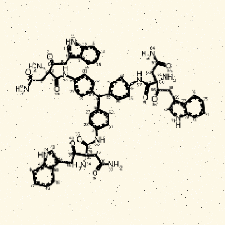 NC(=O)C[C@@](N)(C(=O)Cc1c[nH]c2ccccc12)C(=O)Nc1ccc(C(c2ccc(NC(=O)[C@@](N)(CC(N)=O)C(=O)Cc3c[nH]c4ccccc34)cc2)c2ccc(NC(=O)[C@@](N)(CC(N)=O)C(=O)Cc3c[nH]c4ccccc34)cc2)cc1